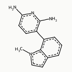 Cn1ccc2cccc(-c3ccc(N)nc3N)c21